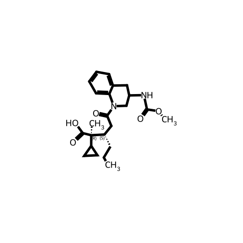 CCC[C@@H](CC(=O)N1CC(NC(=O)OC)Cc2ccccc21)[C@](C)(C(=O)O)C1CC1